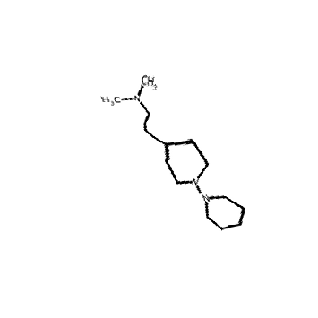 CN(C)CCC1CCN(N2CCCCC2)CC1